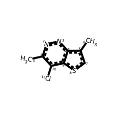 Cc1nnc2c(C)csc2c1Cl